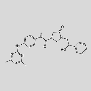 Cc1cc(C)nc(Nc2ccc(NC(=O)C3CC(=O)N(CC(O)c4ccccc4)C3)cc2)n1